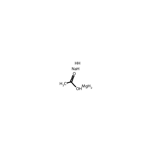 CC(=O)O.[HH].[MgH2].[NaH]